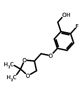 CC1(C)OCC(COc2ccc(F)c(CO)c2)O1